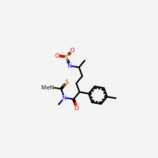 CNC(=S)N(C)C(=O)C(CCC(C)N=S(=O)=O)c1ccc(C)cc1